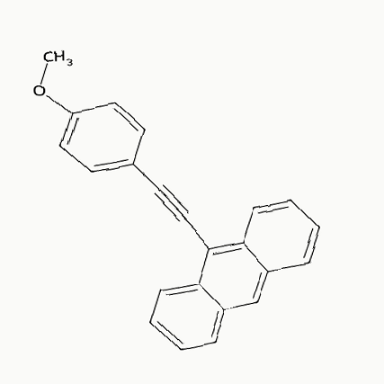 COc1ccc(C#Cc2c3ccccc3cc3ccccc23)cc1